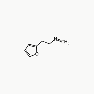 C=NCCc1ccco1